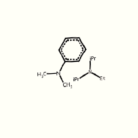 CCN(C(C)C)C(C)C.CN(C)c1ccccc1